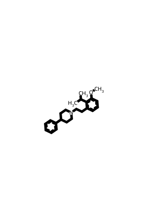 COc1cccc(CCN2CCC(c3ccccc3)CC2)c1C(C)C